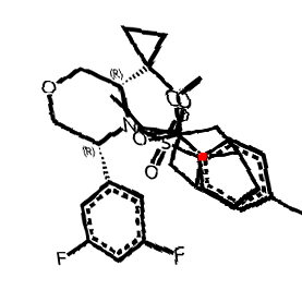 CCC1(OC)CC2CCC(C1)N2C(=O)OC1([C@H]2COC[C@@H](c3cc(F)cc(F)c3)N2S(=O)(=O)c2ccc(Cl)cc2)CC1